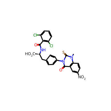 Cn1c(=S)n(-c2ccc(C[C@H](NC(=O)c3c(Cl)cccc3Cl)C(=O)O)cc2)c(=O)c2cc([N+](=O)[O-])ccc21